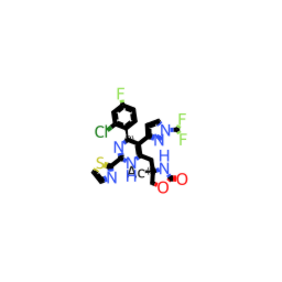 CC(=O)[C@]1(CC2=C(c3ccn(C(F)F)n3)[C@H](c3ccc(F)cc3Cl)N=C(c3nccs3)N2)COC(=O)N1